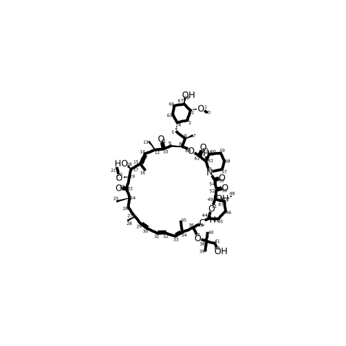 CO[C@@H]1C[C@H](C[C@@H](C)[C@@H]2CC(=O)[C@H](C)/C=C(\C)[C@H](O)[C@@H](OC)C(=O)[C@H](C)C[C@H](C)/C=C/C=C/C=C(\C)C(OC(C)(C)CO)C[C@@H]3CC[C@@H](C)[C@@](O)(O3)C(=O)C(=O)N3CCCC[C@H]3C(=O)O2)CC[C@H]1O